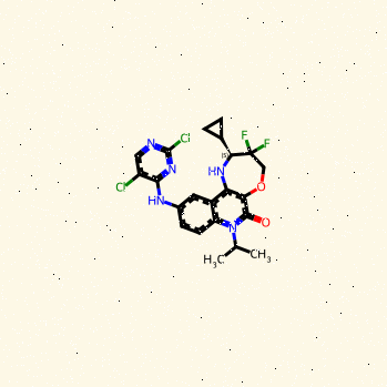 CC(C)n1c(=O)c2c(c3cc(Nc4nc(Cl)ncc4Cl)ccc31)N[C@@H](C1CC1)C(F)(F)CO2